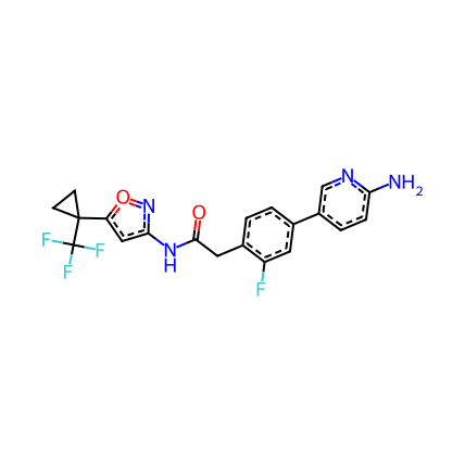 Nc1ccc(-c2ccc(CC(=O)Nc3cc(C4(C(F)(F)F)CC4)on3)c(F)c2)cn1